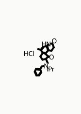 Cc1cc2c(c3c1CCC(CN(Cc1ccccc1)C(C)C)C3=O)CCC(=O)N2.Cl